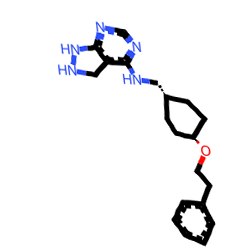 c1ccc(CCO[C@H]2CC[C@@H](CNc3ncnc4c3CNN4)CC2)cc1